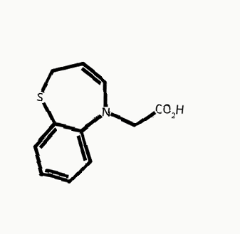 O=C(O)CN1C=CCSc2ccccc21